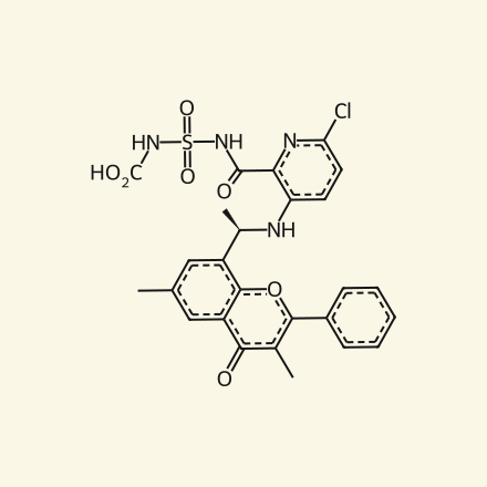 Cc1cc([C@@H](C)Nc2ccc(Cl)nc2C(=O)NS(=O)(=O)NC(=O)O)c2oc(-c3ccccc3)c(C)c(=O)c2c1